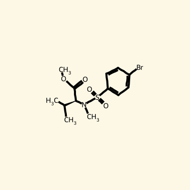 COC(=O)[C@H](C(C)C)N(C)S(=O)(=O)c1ccc(Br)cc1